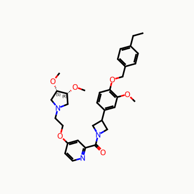 CCc1ccc(COc2ccc(C3CN(C(=O)c4cc(OCCN5C[C@H](OC)[C@H](OC)C5)ccn4)C3)cc2OC)cc1